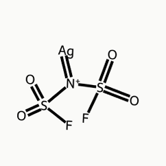 O=S(=O)(F)[N+](=[Ag])S(=O)(=O)F